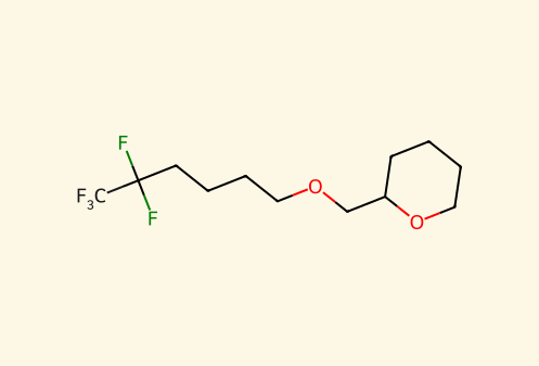 FC(F)(F)C(F)(F)CCCCOCC1CCCCO1